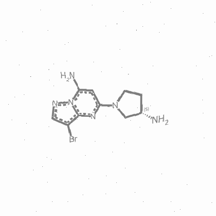 Nc1cc(N2CC[C@H](N)C2)nc2c(Br)cnn12